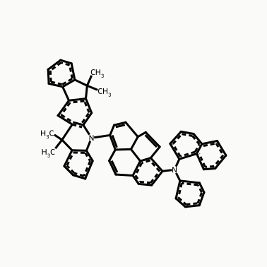 CC1(C)c2ccccc2-c2cc3c(cc21)N(C1=C2C=Cc4ccc(N(c5ccccc5)c5cccc6ccccc56)c5c4C2C(C=C1)C=C5)c1ccccc1C3(C)C